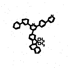 CC1(C)c2cc(-c3cc(-c4ccc(-c5cccnc5)cc4)nc(-c4cccc(-c5ccccc5)c4)c3)ccc2-c2ccc3ccccc3c21